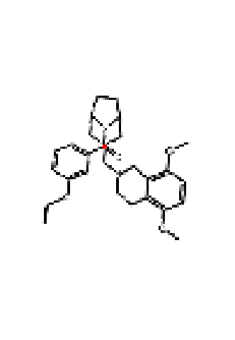 CCOc1cccc(C(=O)N2C3CCC2CC(CN2CCc4c(OC)ccc(OC)c4C2)C3)c1